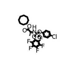 C[C@H](NP(=O)(Oc1ccc(Cl)cc1)Oc1c(F)c(F)c(F)c(F)c1F)C(=O)OC1CCCCCCC1